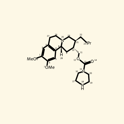 COc1cc2c(cc1OC)[C@H]1C[C@@H](COC(=O)N3CCNCC3)[C@H](CC(C)C)CN1CC2